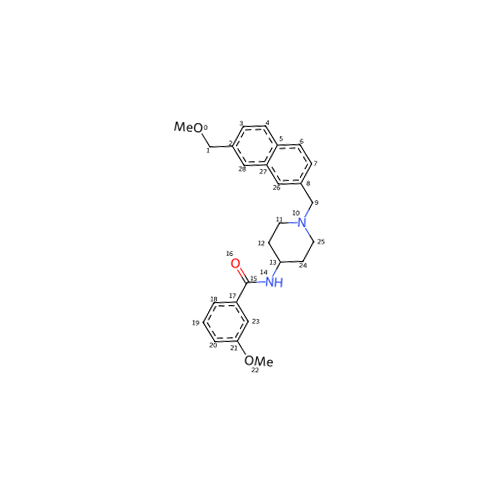 COCc1ccc2ccc(CN3CCC(NC(=O)c4cccc(OC)c4)CC3)cc2c1